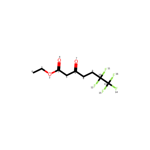 CCOC(=O)CC(=O)CCC(F)(F)C(F)(F)F